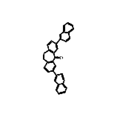 O=C1c2cc(-c3ccc4ccccc4c3)ccc2CCc2ccc(-c3ccc4ccccc4c3)cc21